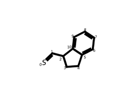 S=[C]C1CCc2ccccc21